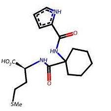 CSCC[C@H](NC(=O)C1(NC(=O)c2ccc[nH]2)CCCCC1)C(=O)O